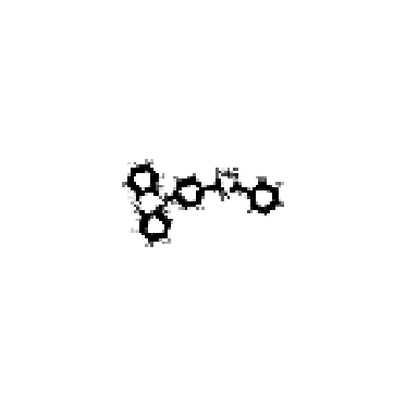 c1ccc(-c2nc(-c3ccc(N4c5ccccc5Sc5ccccc54)cc3)ns2)cc1